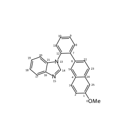 COc1ccc2cc(-c3ccccc3-n3cnc4ccccc43)ccc2c1